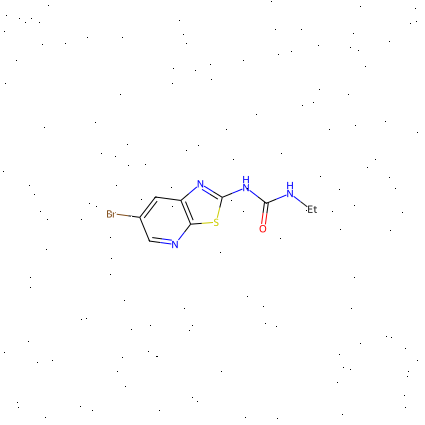 CCNC(=O)Nc1nc2cc(Br)cnc2s1